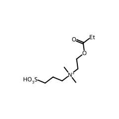 CCC(=O)OCC[N+](C)(C)CCCS(=O)(=O)O